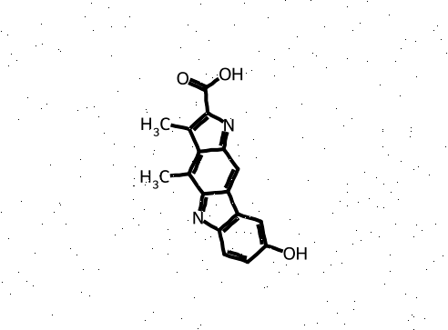 CC1=C(C(=O)O)N=c2cc3c(c(C)c21)=Nc1ccc(O)cc1-3